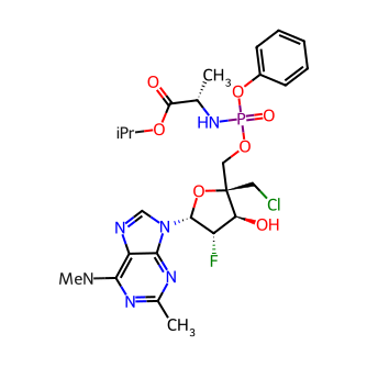 CNc1nc(C)nc2c1ncn2[C@@H]1O[C@](CCl)(COP(=O)(N[C@@H](C)C(=O)OC(C)C)Oc2ccccc2)[C@@H](O)[C@@H]1F